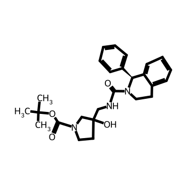 CC(C)(C)OC(=O)N1CCC(O)(CNC(=O)N2CCc3ccccc3[C@@H]2c2ccccc2)C1